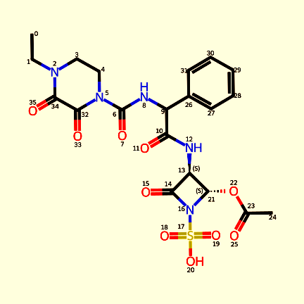 CCN1CCN(C(=O)NC(C(=O)N[C@@H]2C(=O)N(S(=O)(=O)O)[C@H]2OC(C)=O)c2ccccc2)C(=O)C1=O